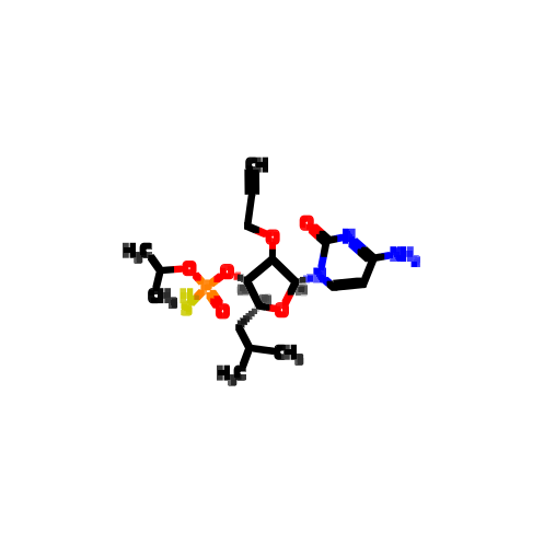 C#CCOC1[C@@H](OP(=O)(S)OC(C)C)[C@@H](CC(C)C)O[C@H]1n1ccc(N)nc1=O